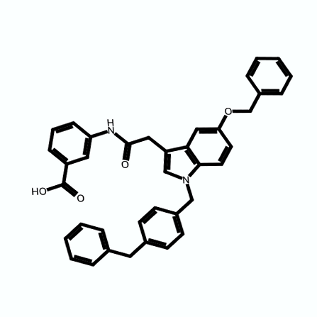 O=C(Cc1cn(Cc2ccc(Cc3ccccc3)cc2)c2ccc(OCc3ccccc3)cc12)Nc1cccc(C(=O)O)c1